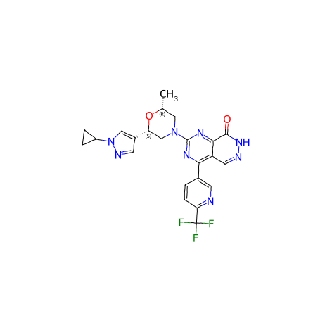 C[C@@H]1CN(c2nc(-c3ccc(C(F)(F)F)nc3)c3cn[nH]c(=O)c3n2)C[C@H](c2cnn(C3CC3)c2)O1